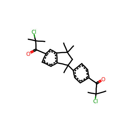 CC(C)(Cl)C(=O)c1ccc(C2(C)CC(C)(C)c3cc(C(=O)C(C)(C)Cl)ccc32)cc1